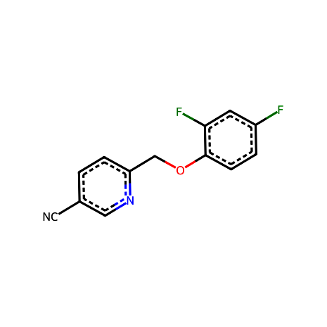 N#Cc1ccc(COc2ccc(F)cc2F)nc1